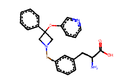 NC(Cc1cccc(SN2CC(Oc3cccnc3)(c3ccccc3)C2)c1)C(=O)O